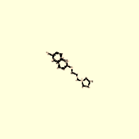 Ic1ccc2nc(OCCCN3CCCC3)ccc2c1